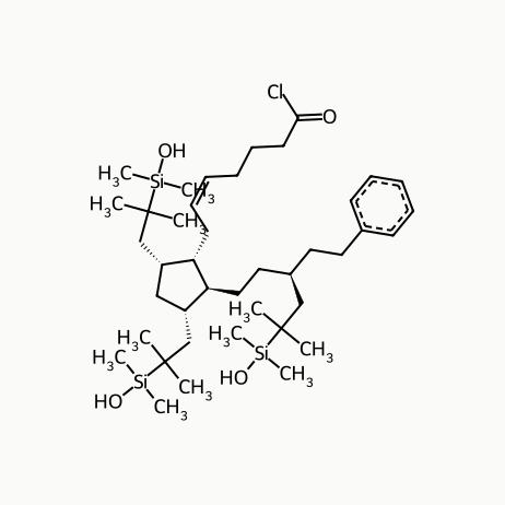 CC(C)(C[C@H](CCc1ccccc1)CC[C@H]1[C@H](CC(C)(C)[Si](C)(C)O)C[C@H](CC(C)(C)[Si](C)(C)O)[C@@H]1C/C=C\CCCC(=O)Cl)[Si](C)(C)O